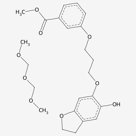 COC(=O)c1cccc(OCCCOc2cc3c(cc2O)CCO3)c1.COCOCOC